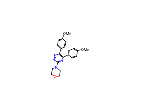 COc1ccc(-c2nnc(N3CCOCC3)nc2-c2ccc(OC)cc2)cc1